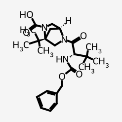 CC(C)(C)[C@H](NC(=O)OCc1ccccc1)C(=O)N1C[C@@]2(C(C)(C)C)C[C@H]1CN2C(=O)O